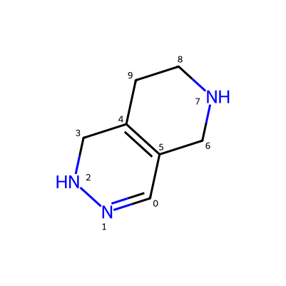 C1=NNCC2=C1CNCC2